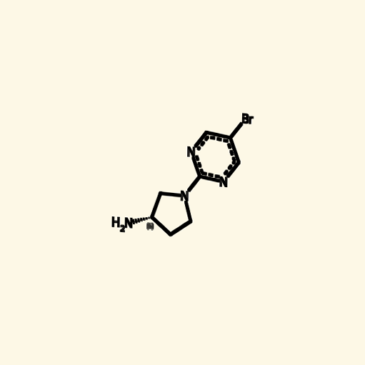 N[C@H]1CCN(c2ncc(Br)cn2)C1